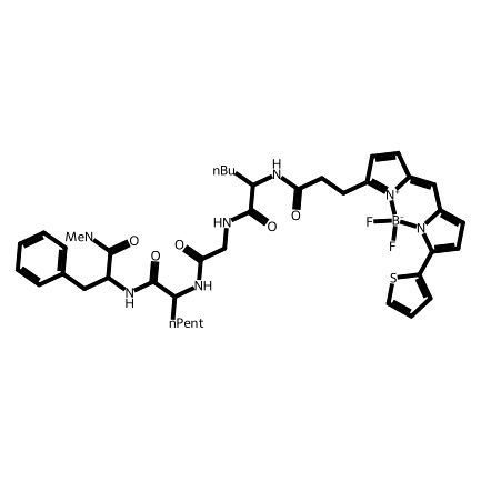 CCCCCC(NC(=O)CNC(=O)C(CCCC)NC(=O)CCC1=[N+]2C(=Cc3ccc(-c4cccs4)n3[B-]2(F)F)C=C1)C(=O)NC(Cc1ccccc1)C(=O)NC